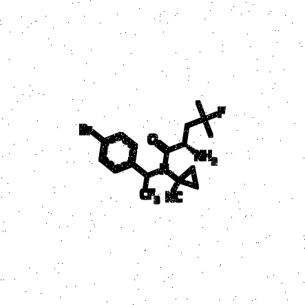 CC(C)(F)C[C@H](N)C(=O)N(C(c1ccc(Br)cc1)C(F)(F)F)C1(C#N)CC1